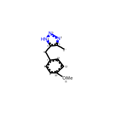 [CH2]c1nn[nH]c1Cc1ccc(OC)cc1